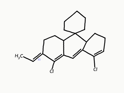 C/C=C1\CCC2C(=C1Cl)C=C1C(Cl)=CCCC1C21CCCCC1